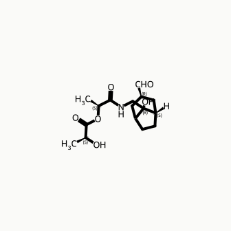 C[C@H](O)C(=O)O[C@@H](C)C(=O)NC[C@@]1(O)C2CC[C@H]1C[C@H](C=O)C2